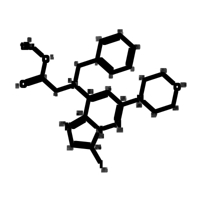 CC(C)(C)OC(=O)CN(Cc1ccccc1)c1cc(N2CCOCC2)nn2c(I)cnc12